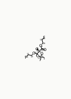 C[Si](C)(C)OP(=O)(C(=O)OCCF)C(=O)OCCF